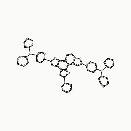 c1ccc(-c2cc3c4cc(-c5ccc(N(c6ccccc6)c6ccccc6)cc5)oc4c4ccc5oc(-c6ccc(N(c7ccccc7)c7ccccc7)cc6)cc5c4c3o2)cc1